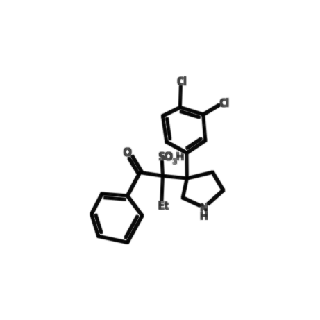 CCC(C(=O)c1ccccc1)(C1(c2ccc(Cl)c(Cl)c2)CCNC1)S(=O)(=O)O